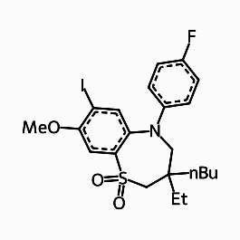 CCCCC1(CC)CN(c2ccc(F)cc2)c2cc(I)c(OC)cc2S(=O)(=O)C1